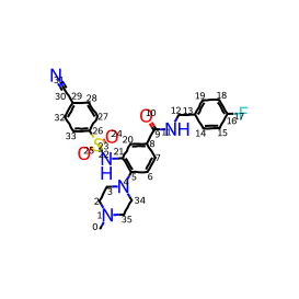 CN1CCN(c2ccc(C(=O)NCc3ccc(F)cc3)cc2NS(=O)(=O)c2ccc(C#N)cc2)CC1